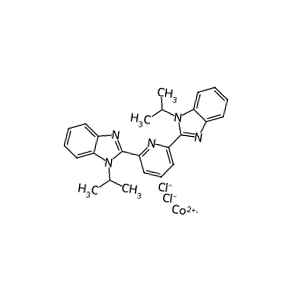 CC(C)n1c(-c2cccc(-c3nc4ccccc4n3C(C)C)n2)nc2ccccc21.[Cl-].[Cl-].[Co+2]